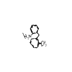 Cc1ccccc1Cc1ccccc1N